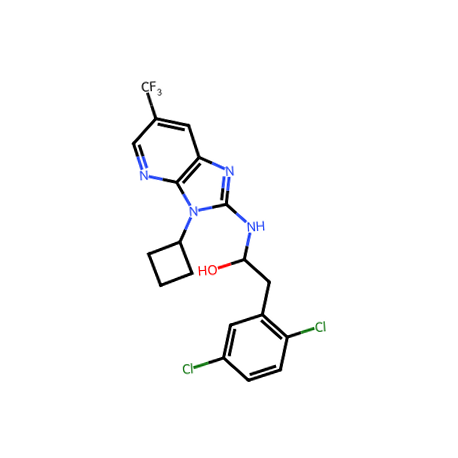 OC(Cc1cc(Cl)ccc1Cl)Nc1nc2cc(C(F)(F)F)cnc2n1C1CCC1